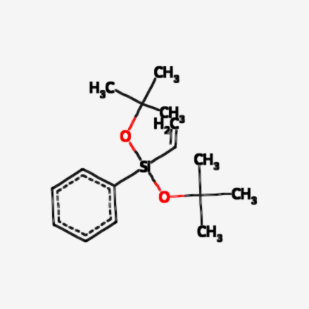 C=C[Si](OC(C)(C)C)(OC(C)(C)C)c1ccccc1